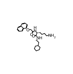 NCCCC[C@H](NC(=O)COc1cccc2ccccc12)C(=O)N[CH]CC1CCCCC1